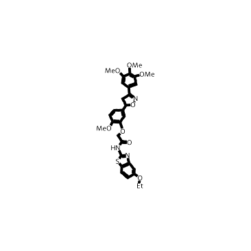 CCOc1ccc2sc(NC(=O)COc3cc(C4CC(c5cc(OC)c(OC)c(OC)c5)=NO4)ccc3OC)nc2c1